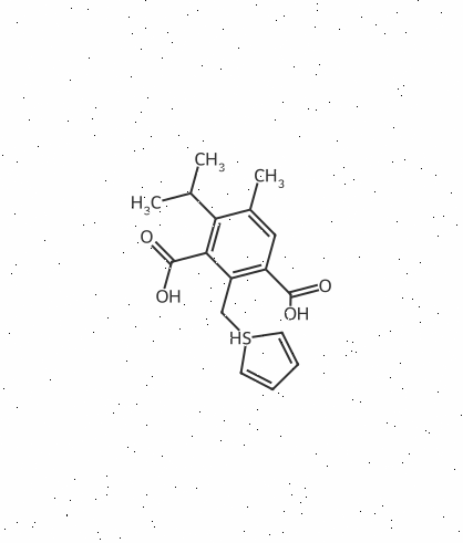 Cc1cc(C(=O)O)c(C[SH]2C=CC=C2)c(C(=O)O)c1C(C)C